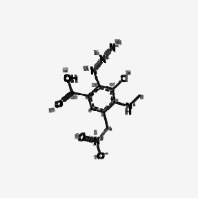 CNc1c(C[N+](=O)[O-])cc(C(=O)O)c(N=[N+]=[N-])c1Cl